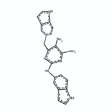 Nc1nc(Nc2ccc3[nH]ccc3c2)nc(Cc2ccc3[nH]ccc3c2)c1N